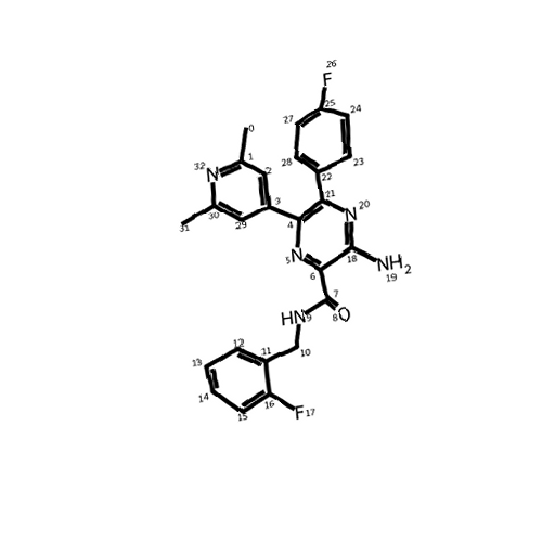 Cc1cc(-c2nc(C(=O)NCc3ccccc3F)c(N)nc2-c2ccc(F)cc2)cc(C)n1